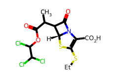 CCSC1=C(C(=O)O)N2C(=O)C(C(C)C(=O)OC(Cl)C(Cl)Cl)[C@H]2S1